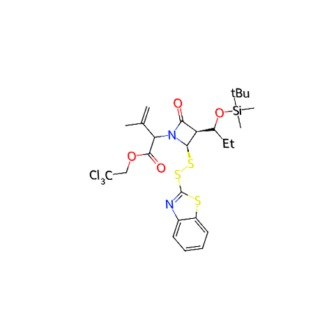 C=C(C)C(C(=O)OCC(Cl)(Cl)Cl)N1C(=O)[C@@H](C(CC)O[Si](C)(C)C(C)(C)C)[C@H]1SSc1nc2ccccc2s1